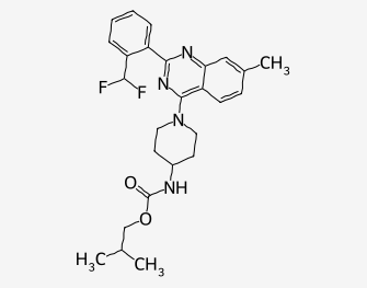 Cc1ccc2c(N3CCC(NC(=O)OCC(C)C)CC3)nc(-c3ccccc3C(F)F)nc2c1